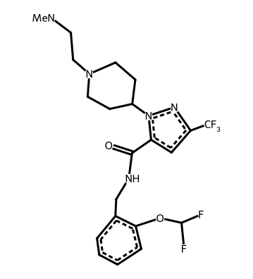 CNCCN1CCC(n2nc(C(F)(F)F)cc2C(=O)NCc2ccccc2OC(F)F)CC1